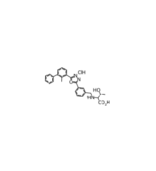 Cc1c(-c2ccccc2)cccc1-c1nnc(-c2cccc(CNC(C(=O)O)C(C)O)c2)o1.Cl